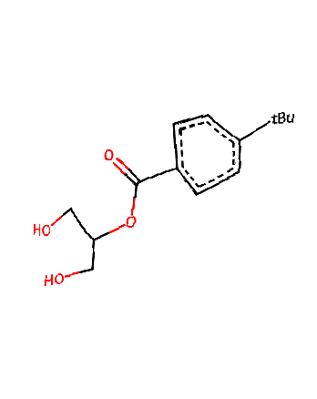 CC(C)(C)c1ccc(C(=O)OC(CO)CO)cc1